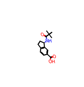 CC(C)(C)C(=O)N[C@@H]1CCc2ccc(C(=O)O)cc21